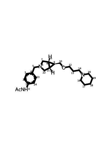 CC(=O)Nc1ccc(CN2C[C@@H]3[C@@H](COCCCN4CCCCC4)[C@@H]3C2)cc1